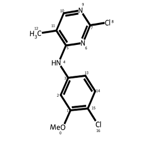 COc1cc(Nc2nc(Cl)ncc2C)ccc1Cl